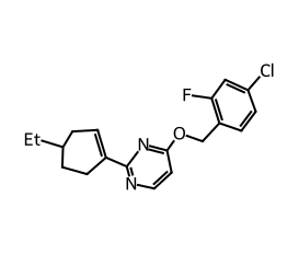 CCC1CC=C(c2nccc(OCc3ccc(Cl)cc3F)n2)CC1